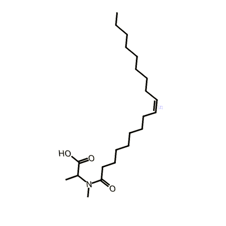 CCCCCCCC/C=C\CCCCCCCC(=O)N(C)C(C)C(=O)O